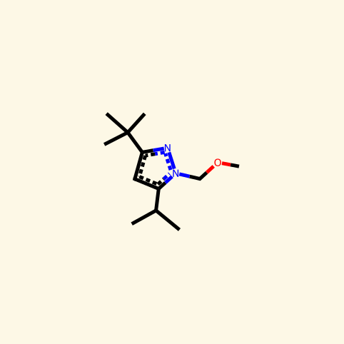 COCn1nc(C(C)(C)C)cc1C(C)C